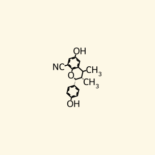 CC1c2cc(O)cc(C#N)c2O[C@@H](c2ccc(O)cc2)[C@H]1C